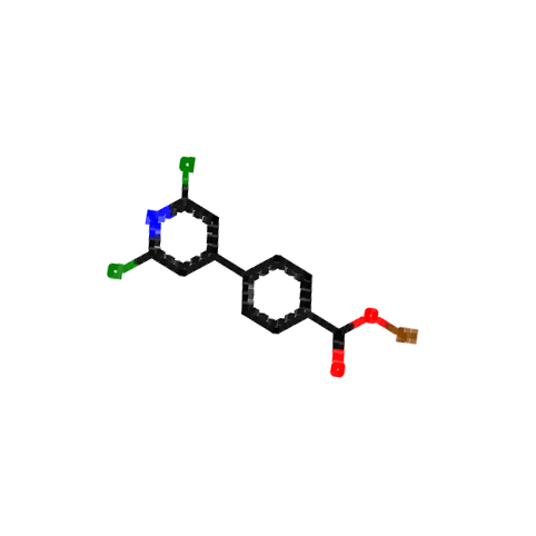 O=C(OS)c1ccc(-c2cc(Cl)nc(Cl)c2)cc1